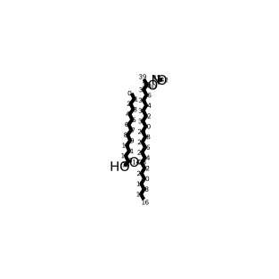 CCCCCCCCCCCCCC(=O)O.CCCCCCCCCCCCCCCCCCCCCCC(C)ON=O